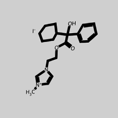 C[n+]1ccn(CCOC(=O)C(O)(c2ccccc2)C2CCCCC2)c1.[I-]